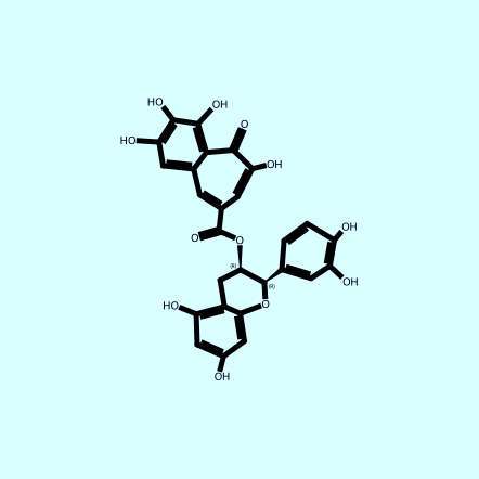 O=C(O[C@@H]1Cc2c(O)cc(O)cc2O[C@@H]1c1ccc(O)c(O)c1)c1cc(O)c(=O)c2c(O)c(O)c(O)cc2c1